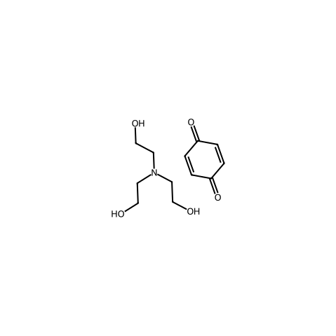 O=C1C=CC(=O)C=C1.OCCN(CCO)CCO